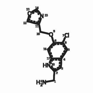 NCc1cc2cc(Cl)c(OCc3cocn3)cc2[nH]1